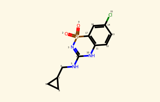 O=S1(=O)N=C(NCC2CC2)Nc2ccc(Cl)cc21